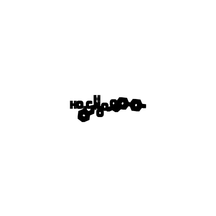 Cc1ccc(-c2ccc3oc(COC(=O)N[C@H](Cc4ccccc4)C(=O)O)cc3c2)cc1